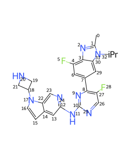 Cc1nc2c(F)cc(-c3nc(Nc4cc5ccn(C6CNC6)c5cn4)ncc3F)cc2n1C(C)C